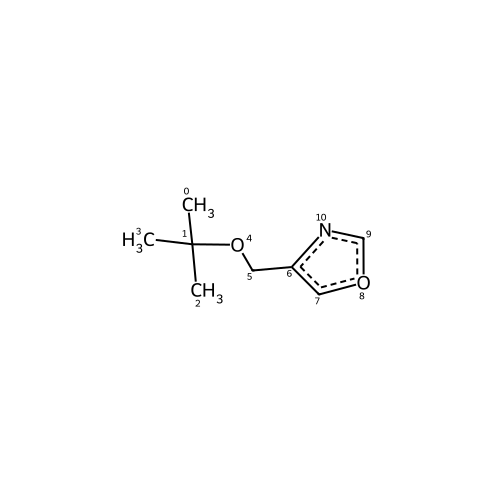 CC(C)(C)OCc1cocn1